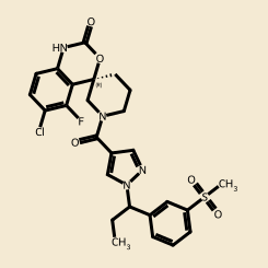 CCC(c1cccc(S(C)(=O)=O)c1)n1cc(C(=O)N2CCC[C@@]3(C2)OC(=O)Nc2ccc(Cl)c(F)c23)cn1